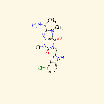 CCn1c(=O)n(Cc2cc3c(Cl)cccc3[nH]2)c(=O)c2c1nc(C(C)N)n2C